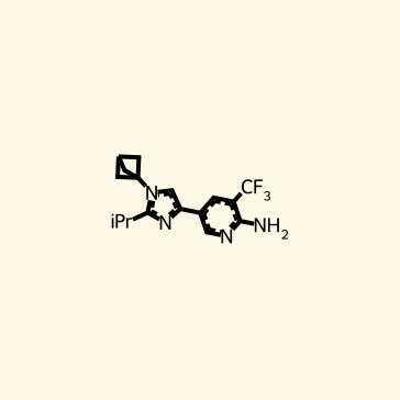 CC(C)c1nc(-c2cnc(N)c(C(F)(F)F)c2)cn1C12CC(C1)C2